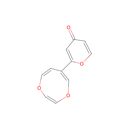 O=c1ccoc(-c2ccoccoc2)c1